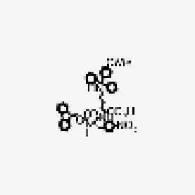 COc1ccc(C(NCCCC[C@H](NC(=O)[C@H](Cc2ccc([N+](=O)[O-])cc2)NC(=O)OCC2c3ccccc3-c3ccccc32)C(=O)O)(c2ccccc2)c2ccccc2)cc1